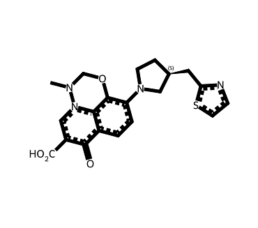 CN1COc2c(N3CC[C@@H](Cc4nccs4)C3)ccc3c(=O)c(C(=O)O)cn1c23